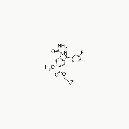 Cc1cc2c(cc1C(=O)OCC1CC1)c(-c1cccc(F)c1)nn2C(N)=O